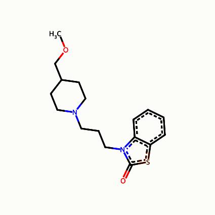 COCC1CCN(CCCn2c(=O)sc3ccccc32)CC1